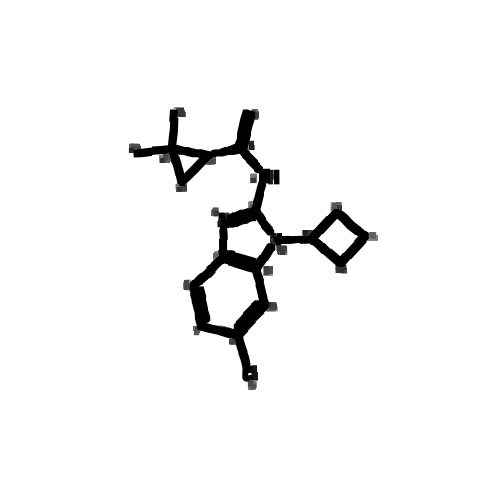 C=C(Nc1nc2ccc(Cl)cc2n1C1CCC1)[C@H]1CC1(C)C